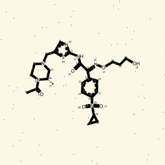 CC(=O)N1CCN(Cc2cnc(NC(=O)/C(=N/OCCCO)c3ccc(S(=O)(=O)C4CC4)cc3)s2)C[C@@H]1C